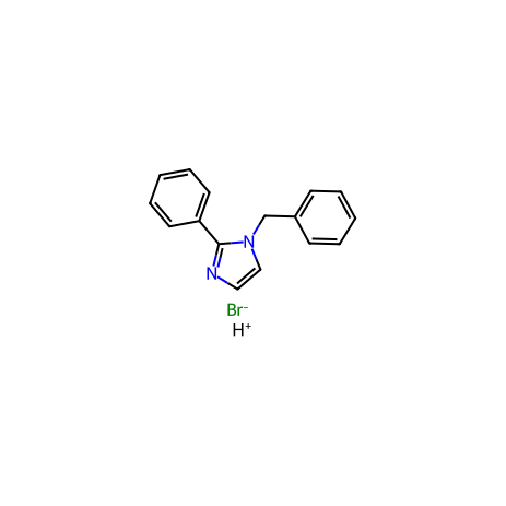 [Br-].[H+].c1ccc(Cn2ccnc2-c2ccccc2)cc1